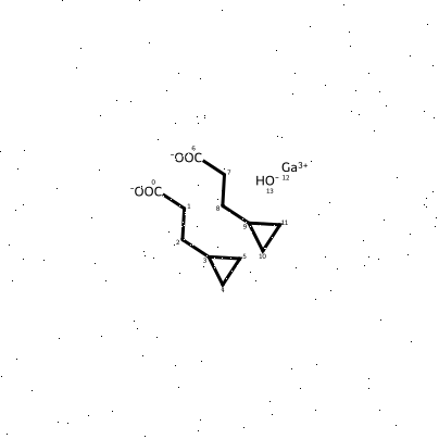 O=C([O-])CCC1CC1.O=C([O-])CCC1CC1.[Ga+3].[OH-]